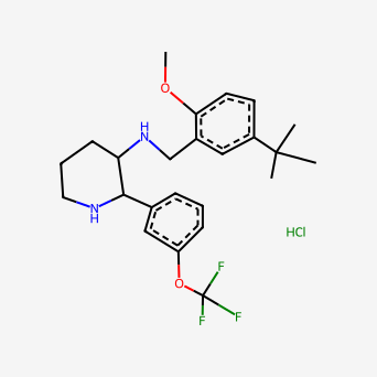 COc1ccc(C(C)(C)C)cc1CNC1CCCNC1c1cccc(OC(F)(F)F)c1.Cl